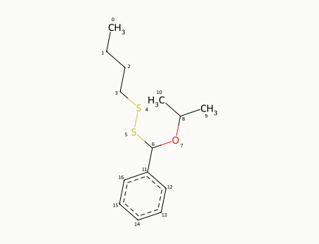 CCCCSSC(OC(C)C)c1ccccc1